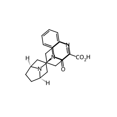 O=C(O)c1nc2ccccc2n([C@H]2C[C@H]3CC[C@@H](C2)N3C2CC3CCCC(C3)C2)c1=O